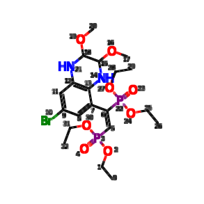 CCOP(=O)(C=C(c1cc(Br)cc2c1NC(OC)C(OC)N2)P(=O)(OCC)OCC)OCC